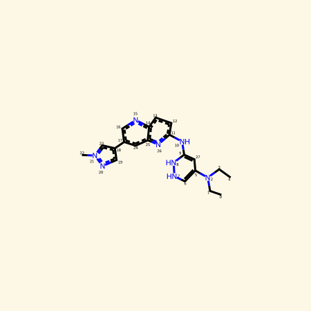 CCN(CC)C1=CNNC(Nc2ccc3ncc(-c4cnn(C)c4)cc3n2)=C1